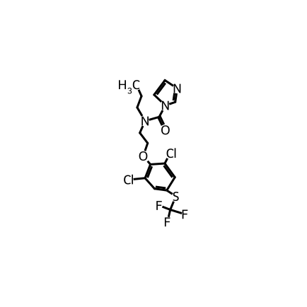 CCCN(CCOc1c(Cl)cc(SC(F)(F)F)cc1Cl)C(=O)n1ccnc1